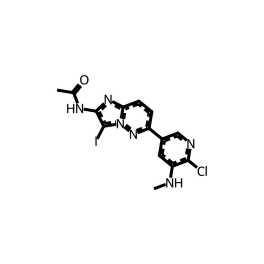 CNc1cc(-c2ccc3nc(NC(C)=O)c(I)n3n2)cnc1Cl